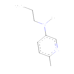 CCCc1ccc(N(CC)CCNC)cn1